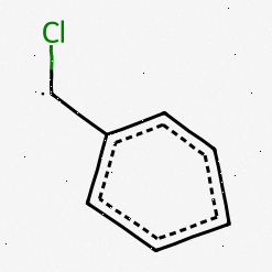 Cl[CH]c1ccccc1